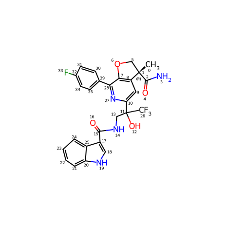 C[C@]1(C(N)=O)COc2c1cc(C(O)(CNC(=O)c1c[nH]c3ccccc13)C(F)(F)F)nc2-c1ccc(F)cc1